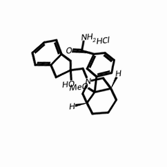 COC1(c2cccc(C(N)=O)c2)[C@@H]2CCC[C@H]1CN(CC1(O)Cc3ccccc3C1)C2.Cl